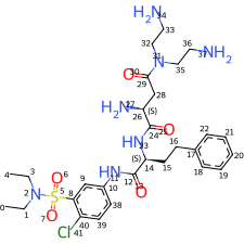 CCN(CC)S(=O)(=O)c1cc(NC(=O)[C@H](CCc2ccccc2)NC(=O)[C@@H](N)CC(=O)N(CCN)CCN)ccc1Cl